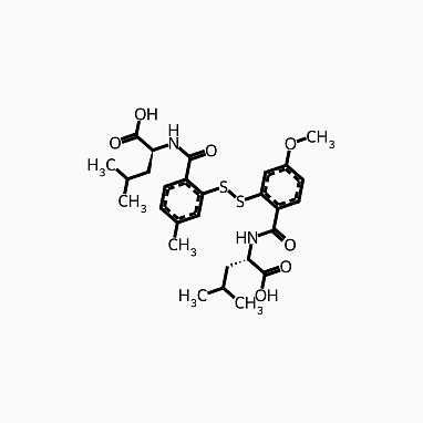 COc1ccc(C(=O)N[C@@H](CC(C)C)C(=O)O)c(SSc2cc(C)ccc2C(=O)N[C@@H](CC(C)C)C(=O)O)c1